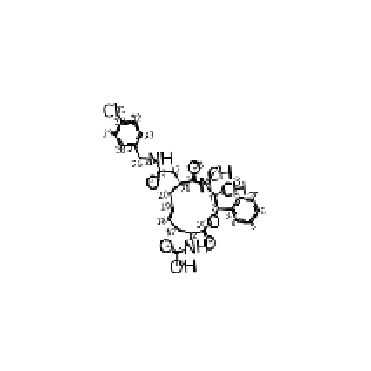 C[C@H]1[C@@H](c2ccccc2)OC(=O)[C@@H](NC(=O)O)C/C=C/C[C@@H](CC(=O)NCc2ccc(Cl)cc2)C(=O)N1C